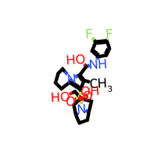 Cc1c(S(=O)(=O)N2C3CCC2CC(O)(CO)C3)c2n(c1C(O)Nc1ccc(F)c(F)c1)CCCC2